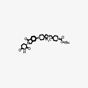 CC1(CN2CC3(CCN(c4ccc5c(c4)CN([C@H]4CCC(=O)NC4=O)C5=O)CC3)C2)CCN(C(=O)OC(C)(C)C)CC1